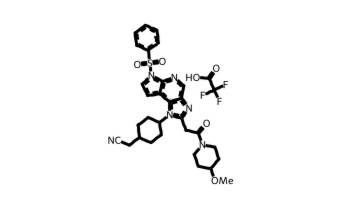 COC1CCN(C(=O)Cc2nc3cnc4c(ccn4S(=O)(=O)c4ccccc4)c3n2C2CCC(CC#N)CC2)CC1.O=C(O)C(F)(F)F